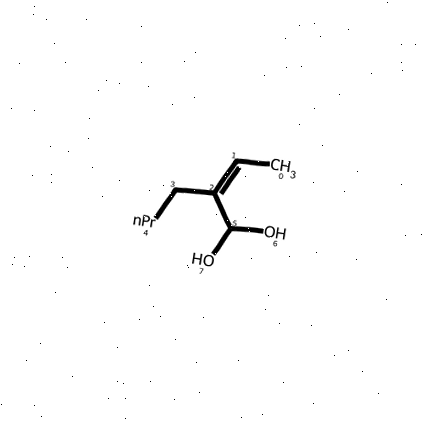 CC=C(CCCC)C(O)O